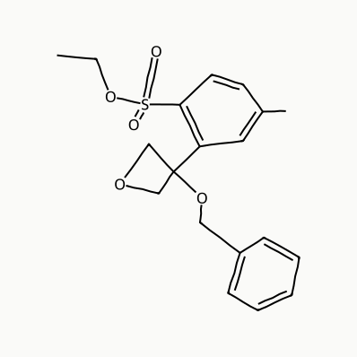 CCOS(=O)(=O)c1ccc(C)cc1C1(OCc2ccccc2)COC1